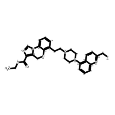 CCOC(=O)c1ncn2c1COc1c(CCN3CCN(c4cccc5nc(CF)ccc45)CC3)cccc1-2